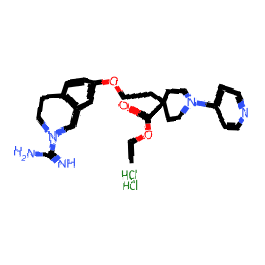 CCOC(=O)C1(CCOc2ccc3c(c2)CN(C(=N)N)CC3)CCN(c2ccncc2)CC1.Cl.Cl